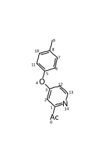 CC(=O)c1cc(Oc2ccc(C)cc2)ccn1